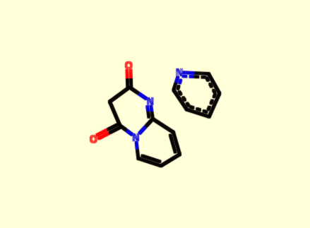 O=C1CC(=O)N2C=CC=CC2=N1.c1ccncc1